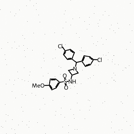 COc1ccc(S(=O)(=O)NC2CN(C(c3ccc(Cl)cc3)c3ccc(Cl)cc3)C2)cc1